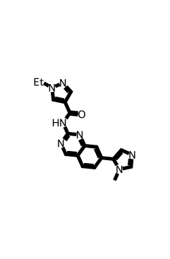 CCn1cc(C(=O)Nc2ncc3ccc(-c4cncn4C)cc3n2)cn1